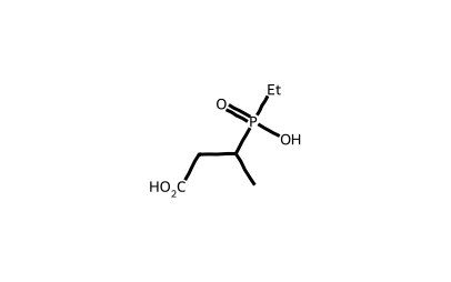 CCP(=O)(O)C(C)CC(=O)O